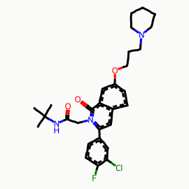 CC(C)(C)NC(=O)Cn1c(-c2ccc(F)c(Cl)c2)cc2ccc(OCCCN3CCCCC3)cc2c1=O